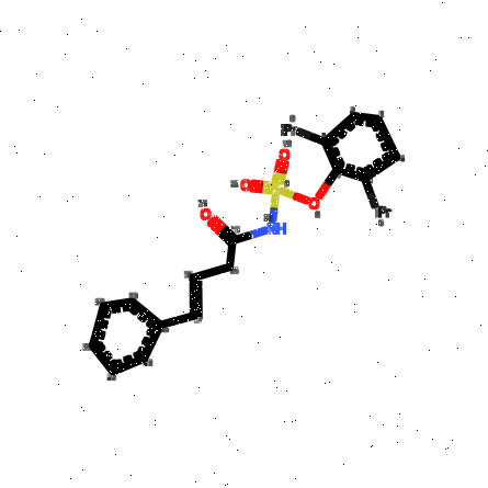 CC(C)c1cccc(C(C)C)c1OS(=O)(=O)NC(=O)CC=Cc1ccccc1